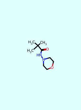 CC(C)(C)C(=O)NN1CCOCC1